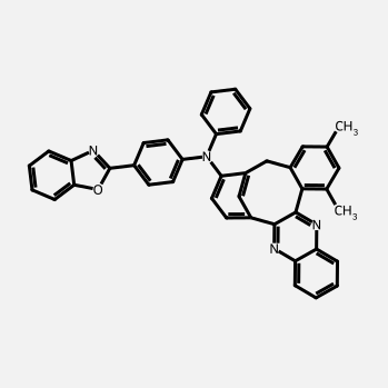 Cc1cc(C)c2c(c1)Cc1cc(ccc1N(c1ccccc1)c1ccc(-c3nc4ccccc4o3)cc1)-c1nc3ccccc3nc1-2